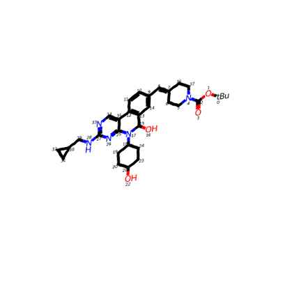 CC(C)(C)OC(=O)N1CCC(=Cc2ccc3c(c2)C(O)N(C2CCC(O)CC2)c2nc(NCC4CC4)ncc2-3)CC1